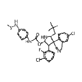 CSNc1ccc(NC(=O)O[C@H]2N[C@@H](CC(C)(C)C)C(C#N)(c3ccc(Cl)cc3F)C2c2cccc(Cl)c2F)cc1